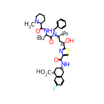 CCC(C)C(NC(=O)C1CCCCN1C)C(=O)N(Cc1ccccc1)[C@H](C[C@@H](O)c1nc(C(=O)N[C@H]2Cc3ccc(F)cc3[C@H](C(=O)O)C2)cs1)C(C)C